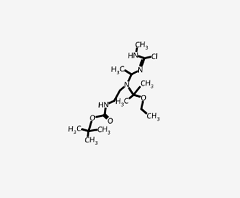 CCOC(C)(C)N(CCNC(=O)OC(C)(C)C)C(C)/N=C(/Cl)NC